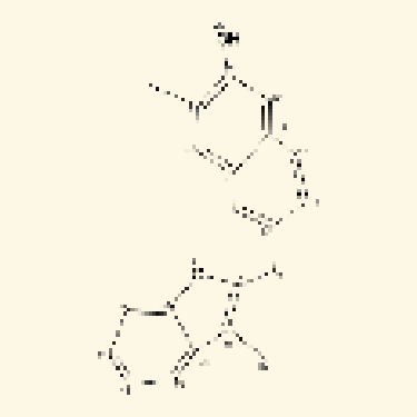 Cc1cc2cc(Cc3oc4ccccc4c3C)ccc2cc1O